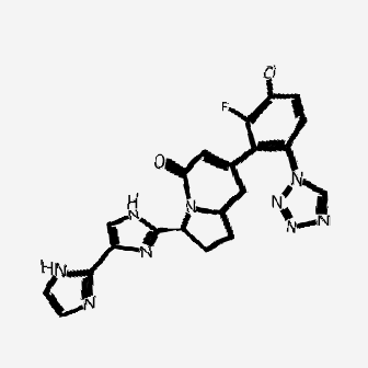 O=C1C=C(c2c(-n3cnnn3)ccc(Cl)c2F)CC2CC[C@@H](c3nc(-c4ncc[nH]4)c[nH]3)N12